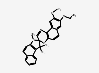 CCOc1cc2ccc3c(c2cc1OC)N=CC1(O3)N(C)c2ccc3ccccc3c2C1(C)C